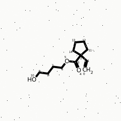 C=CC1(C(=O)OCCCCO)CCCC1